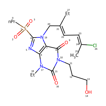 CCCS(=O)(=O)c1nc2c(c(=O)n(CCCO)c(=O)n2CC)n1C/C(=C/C=C(\C)Cl)CC